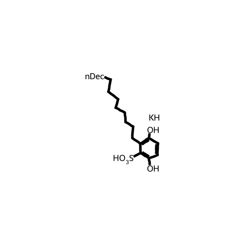 CCCCCCCCCCCCCCCCCCc1c(O)ccc(O)c1S(=O)(=O)O.[KH]